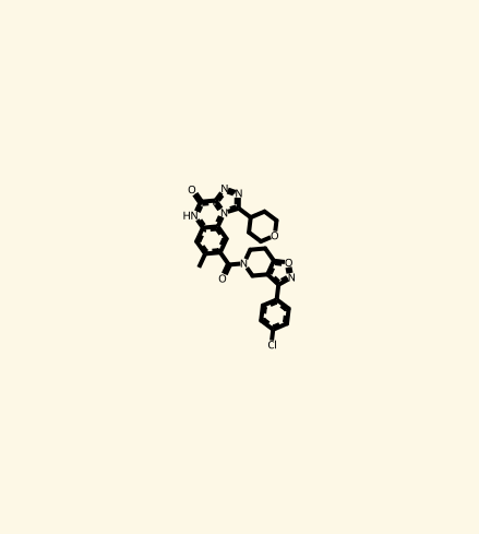 Cc1cc2[nH]c(=O)c3nnc(C4CCOCC4)n3c2cc1C(=O)N1CCc2onc(-c3ccc(Cl)cc3)c2C1